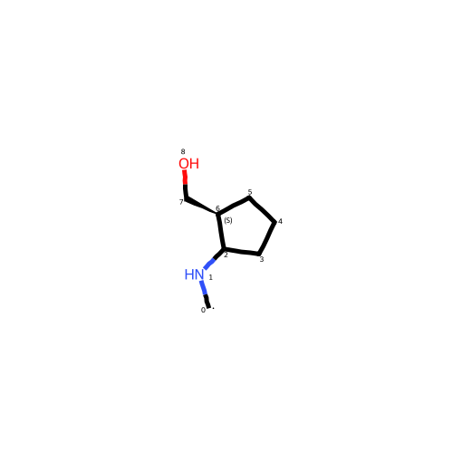 [CH2]NC1CCC[C@@H]1CO